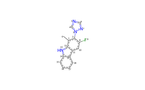 Cc1c(-n2cncn2)c(F)cc2c1[nH]c1ccccc12